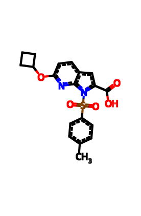 Cc1ccc(S(=O)(=O)n2c(C(=O)O)cc3ccc(OC4CCC4)nc32)cc1